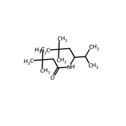 CC(C)C(CC(C)(C)C)NC(=O)CC(C)(C)C